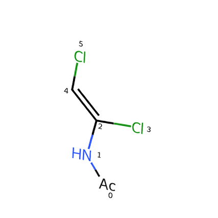 CC(=O)NC(Cl)=CCl